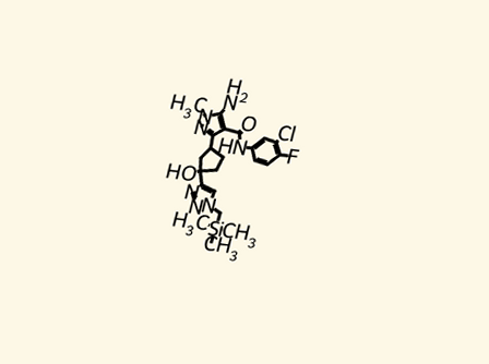 Cn1nc(C2CCC(O)(c3cn(C[Si](C)(C)C)nn3)C2)c(C(=O)Nc2ccc(F)c(Cl)c2)c1N